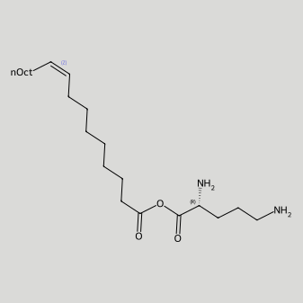 CCCCCCCC/C=C\CCCCCCCC(=O)OC(=O)[C@H](N)CCCN